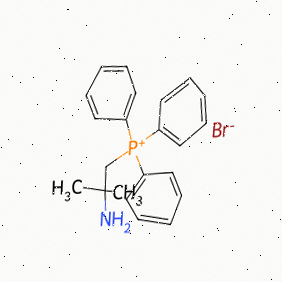 CC(C)(N)C[P+](c1ccccc1)(c1ccccc1)c1ccccc1.[Br-]